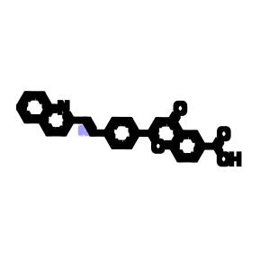 O=C(O)c1ccc2oc(-c3ccc(/C=C/c4ccc5ccccc5n4)cc3)cc(=O)c2c1